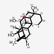 C=C1[C@H]2CCC3(C(C2)[C@@]24CCC[C@@](C)(COC2=O)C4C[C@H]3O)[C@H]1O